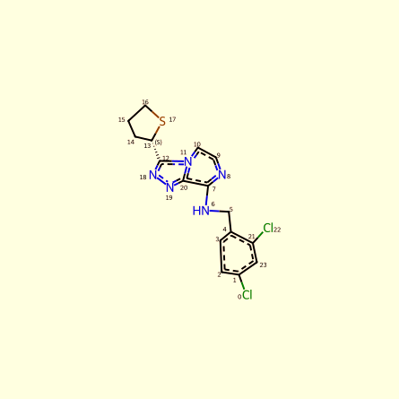 Clc1ccc(CNc2nccn3c([C@@H]4CCCS4)nnc23)c(Cl)c1